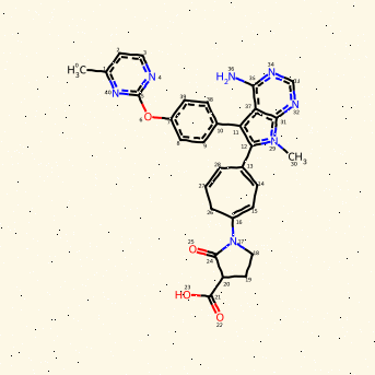 Cc1ccnc(Oc2ccc(-c3c(C4=CC=C(N5CCC(C(=O)O)C5=O)CC=C4)n(C)c4ncnc(N)c34)cc2)n1